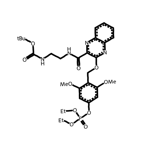 CCOP(=O)(OCC)Oc1cc(OC)c(COc2nc3ccccc3nc2C(=O)NCCNC(=O)OC(C)(C)C)c(OC)c1